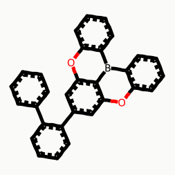 c1ccc(-c2ccccc2-c2cc3c4c(c2)Oc2ccccc2B4c2ccccc2O3)cc1